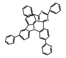 c1ccc(-c2ccc3c(c2)c2ccccc2n3-c2cc(-c3ccccn3)ccc2-c2nc(-c3ccccc3)nc(-c3ccccc3)n2)cc1